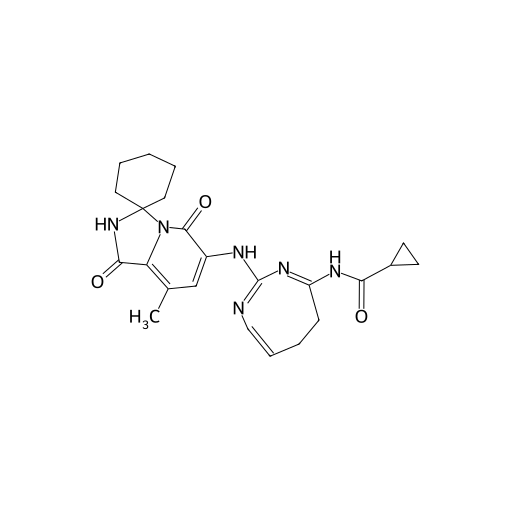 Cc1cc(NC2=N/C=C\CC/C(NC(=O)C3CC3)=N\2)c(=O)n2c1C(=O)NC21CCCCC1